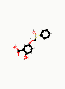 O=C(O)c1cc(OC[S+]([O-])c2ccccc2)ccc1O